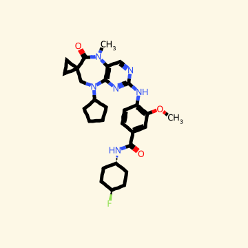 COc1cc(C(=O)N[C@H]2CC[C@H](F)CC2)ccc1Nc1ncc2c(n1)N(C1CCCC1)CC1(CC1)C(=O)N2C